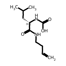 C=CCCNC(=O)[C@H](CC(C)C)NC(=O)O